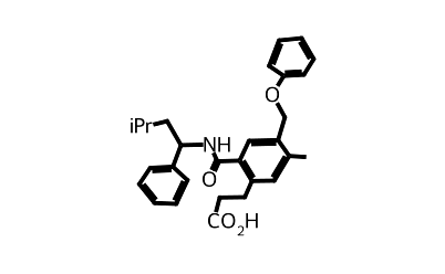 Cc1cc(CCC(=O)O)c(C(=O)NC(CC(C)C)c2ccccc2)cc1COc1ccccc1